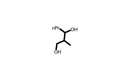 [CH2]CCC(O)C(C)CO